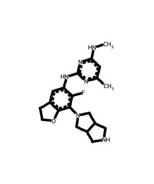 CNc1cc(C)nc(Nc2cc3c(c(N4CC5CNCC5C4)c2F)OCC3)n1